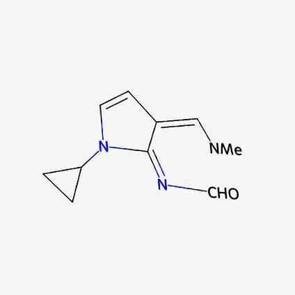 CN/C=C1/C=CN(C2CC2)/C1=N/C=O